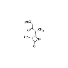 CC(=O)OCC(=O)[C@H](C)C1NC(=O)C1C(C)C